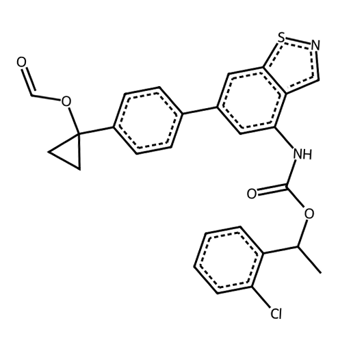 CC(OC(=O)Nc1cc(-c2ccc(C3(OC=O)CC3)cc2)cc2sncc12)c1ccccc1Cl